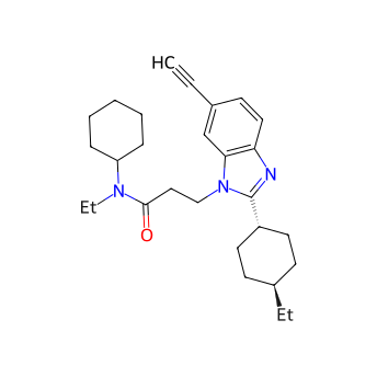 C#Cc1ccc2nc([C@H]3CC[C@H](CC)CC3)n(CCC(=O)N(CC)C3CCCCC3)c2c1